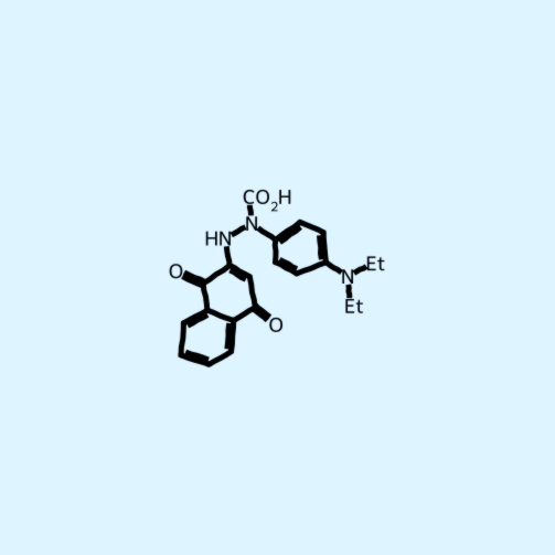 CCN(CC)c1ccc(N(NC2=CC(=O)c3ccccc3C2=O)C(=O)O)cc1